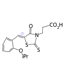 CC(C)Oc1ccccc1/C=C1\SC(=S)N(CCC(=O)O)C1=O